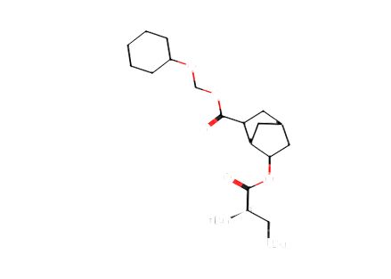 CC(C)(C)C[C@H](C(=O)OC1CC2CC(C(=O)OCOC3CCCCC3)C1C2)C(C)(C)C